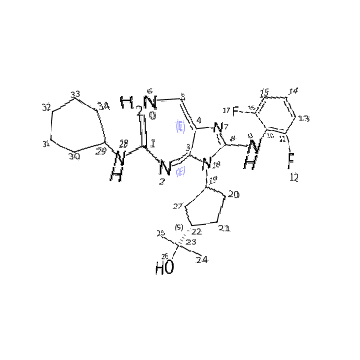 C=C(/N=C1\C(=C/N)N=C(Nc2c(F)cccc2F)N1C1CC[C@H](C(C)(C)O)C1)NC1CCCCC1